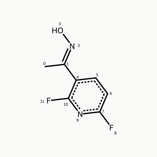 C/C(=N\O)c1ccc(F)nc1F